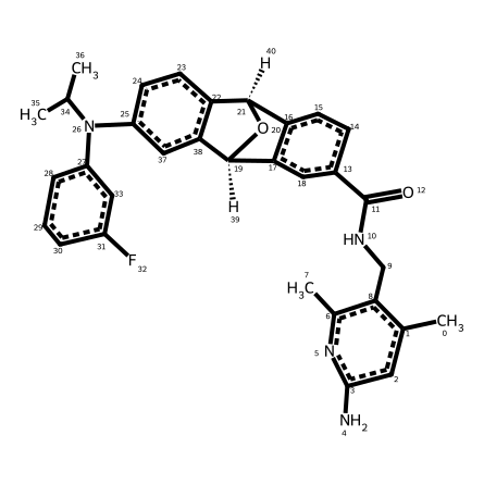 Cc1cc(N)nc(C)c1CNC(=O)c1ccc2c(c1)[C@@H]1O[C@H]2c2ccc(N(c3cccc(F)c3)C(C)C)cc21